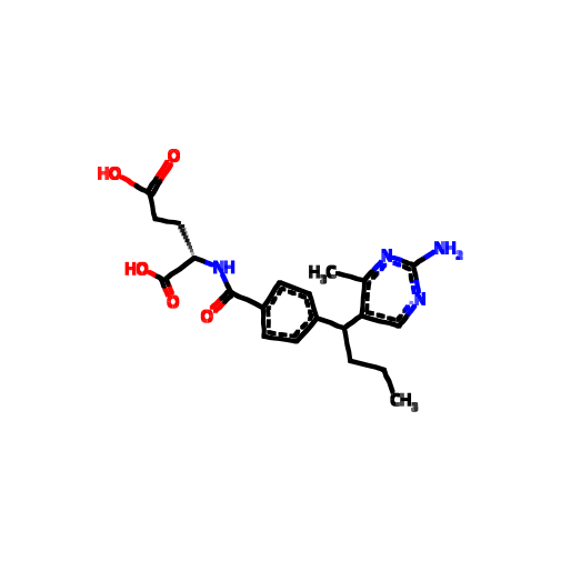 CCCC(c1ccc(C(=O)N[C@@H](CCC(=O)O)C(=O)O)cc1)c1cnc(N)nc1C